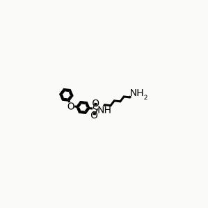 NCCCCCCNS(=O)(=O)c1ccc(Oc2ccccc2)cc1